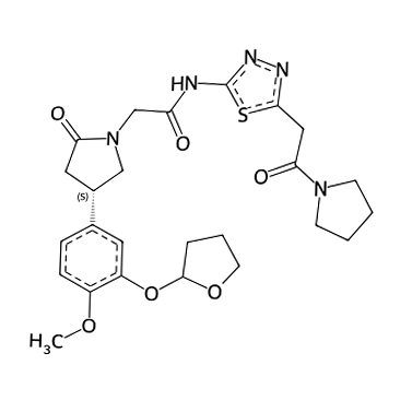 COc1ccc([C@@H]2CC(=O)N(CC(=O)Nc3nnc(CC(=O)N4CCCC4)s3)C2)cc1OC1CCCO1